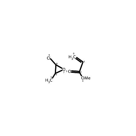 C=CC(=O)OC.CC1OC1Cl